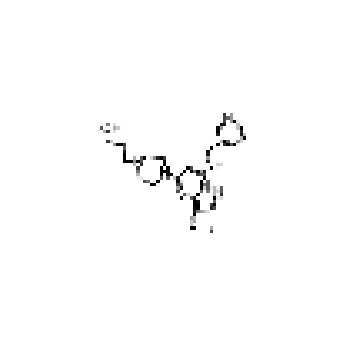 Bc1cnn2c(NCc3cccnc3)cc(N3CCN(CCCO)CC3)nc12